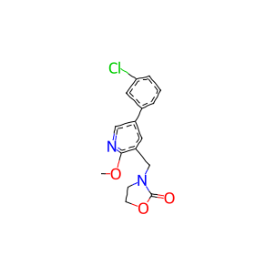 COc1ncc(-c2cccc(Cl)c2)cc1CN1CCOC1=O